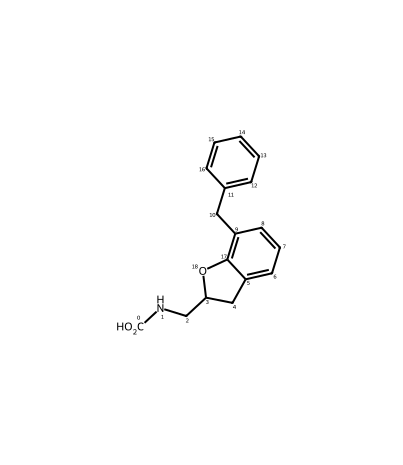 O=C(O)NCC1Cc2cccc(Cc3ccccc3)c2O1